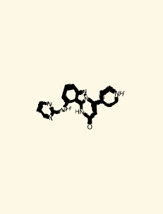 O=c1cc(C2CCNCC2)n2nc3cccc(Nc4ncccn4)c3c2[nH]1